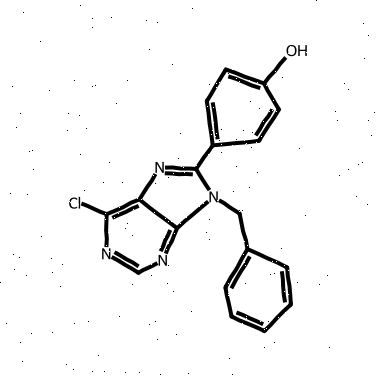 Oc1ccc(-c2nc3c(Cl)ncnc3n2Cc2ccccc2)cc1